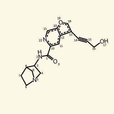 O=C(NC1CN2CCC1C2)c1cc2c(C#CCO)coc2cn1